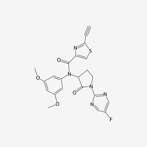 C#Cc1nc(C(=O)N(c2cc(OC)cc(OC)c2)C2CCN(c3ncc(F)cn3)C2=O)cs1